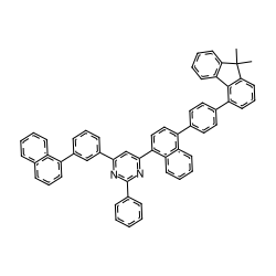 CC1(C)c2ccccc2-c2c(-c3ccc(-c4ccc(-c5cc(-c6cccc(-c7cccc8ccccc78)c6)nc(-c6ccccc6)n5)c5ccccc45)cc3)cccc21